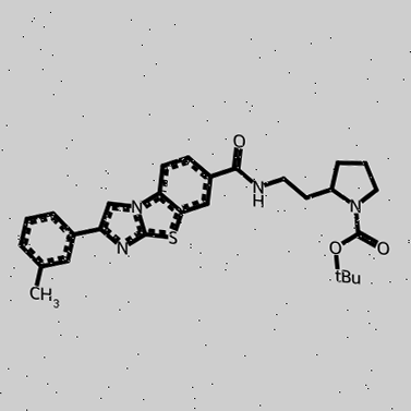 Cc1cccc(-c2cn3c(n2)sc2cc(C(=O)NCCC4CCCN4C(=O)OC(C)(C)C)ccc23)c1